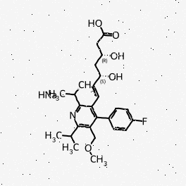 COCc1c(C(C)C)nc(C(C)C)c(C=C[C@@H](O)C[C@@H](O)CC(=O)O)c1-c1ccc(F)cc1.[NaH]